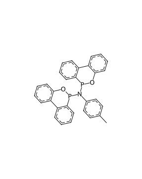 Cc1ccc(N(P2Oc3ccccc3-c3ccccc32)P2Oc3ccccc3-c3ccccc32)cc1